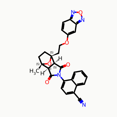 C[C@@]12CC[C@@](CCOc3ccc4nonc4c3)(O1)[C@H]1C(=O)N(c3ccc(C#N)c4ccccc34)C(=O)[C@H]12